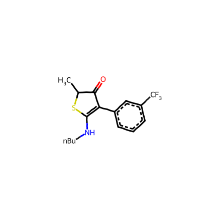 CCCCNC1=C(c2cccc(C(F)(F)F)c2)C(=O)C(C)S1